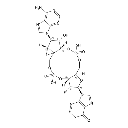 Nc1ncnc2c1ncn2[C@H]1[C@H](O)[C@@H]2OP(=O)(S)OC[C@H]3O[C@@H](n4cnc5c4N=CCC5=O)[C@H](F)[C@@H]3OP(=O)(O)OCC23C[C@H]13